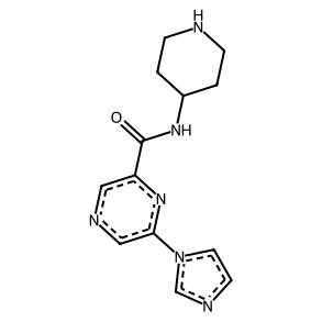 O=C(NC1CCNCC1)c1cncc(-n2ccnc2)n1